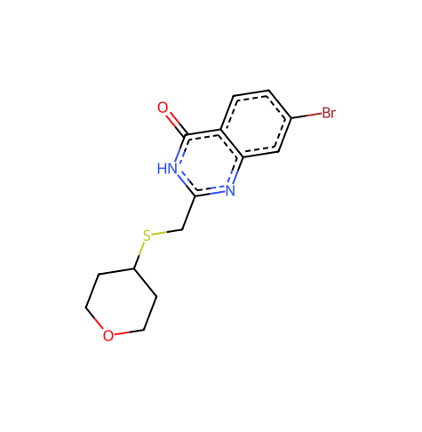 O=c1[nH]c(CSC2CCOCC2)nc2cc(Br)ccc12